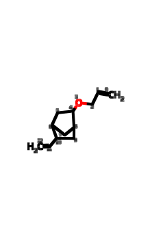 C=CCOC1CC2CC1CC2C=C